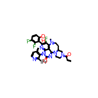 C=CC(=O)N1CCN2c3nc(=O)n(-c4c(C)ccnc4C(C)C)c4nc(-c5c(O)ccc(F)c5F)c(F)c(c34)N(C)CCC2C1